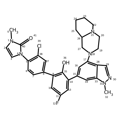 Cn1ccn(-c2ccc(-c3cc(F)cc(-c4cc(N5CCN6CCCCC6C5)c5cnn(C)c5c4)c3O)cc2Cl)c1=O